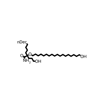 CCCCCCCCCCCCCCC(CCCO)(OCCCCCCCCCCCCCCCCCCO)C(N)=O